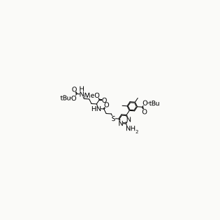 COC(=O)C(CCCNC(=O)OC(C)(C)C)NC(=O)CCSc1cc(-c2cc(C(=O)OC(C)(C)C)c(C)cc2C)nc(N)n1